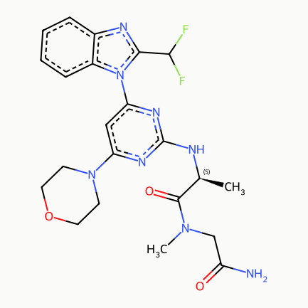 C[C@H](Nc1nc(N2CCOCC2)cc(-n2c(C(F)F)nc3ccccc32)n1)C(=O)N(C)CC(N)=O